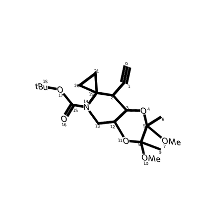 C#CC1C2OC(C)(OC)C(C)(OC)OC2CN(C(=O)OC(C)(C)C)C12CC2